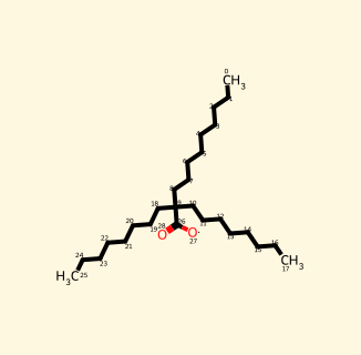 CCCCCCCCCC(CCCCCCCC)(CCCCCCCC)C([O])=O